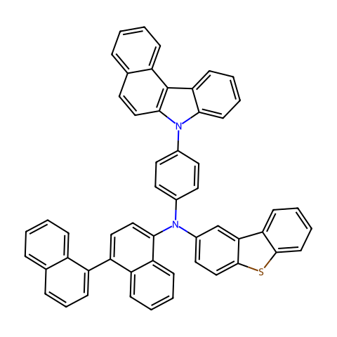 c1ccc2c(-c3ccc(N(c4ccc(-n5c6ccccc6c6c7ccccc7ccc65)cc4)c4ccc5sc6ccccc6c5c4)c4ccccc34)cccc2c1